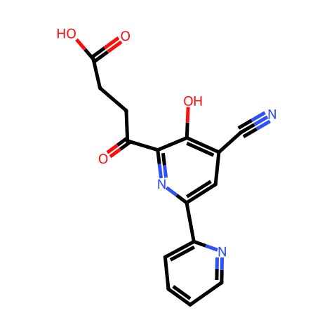 N#Cc1cc(-c2ccccn2)nc(C(=O)CCC(=O)O)c1O